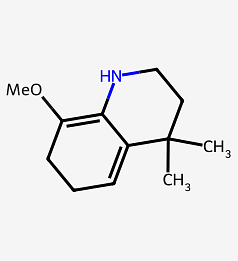 COC1=C2NCCC(C)(C)C2=CCC1